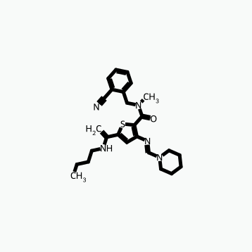 C=C(NCCCC)c1cc(/N=C/N2CCCCC2)c(C(=O)N(C)Cc2ccccc2C#N)s1